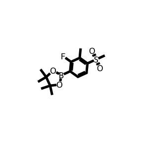 Cc1c(S(C)(=O)=O)ccc(B2OC(C)(C)C(C)(C)O2)c1F